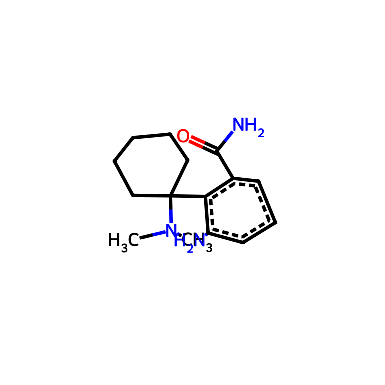 CN(C)C1(c2c(N)cccc2C(N)=O)CCCCC1